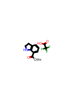 COC(=O)c1cccc2c1NCC2.O=C(O)C(F)(F)F